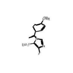 C=C(c1ccc(OC)cc1)n1cnc(F)c1C(=O)OCC